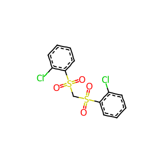 O=S(=O)(CS(=O)(=O)c1ccccc1Cl)c1ccccc1Cl